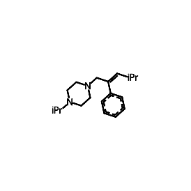 CC(C)/C=C(/CN1CCN(C(C)C)CC1)c1ccccc1